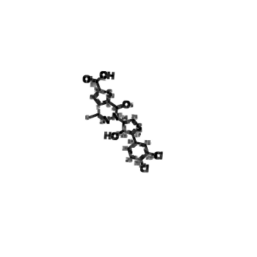 CC=NN(C(=O)c1ccc(C(=O)O)s1)c1csc(-c2ccc(Cl)c(Cl)c2)c1O